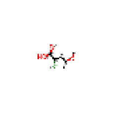 CO[C@@H](C)CC(Br)C(=O)O